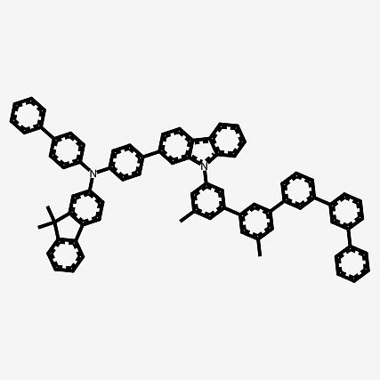 Cc1cc(-c2cccc(-c3cccc(-c4ccccc4)c3)c2)cc(-c2cc(C)cc(-n3c4ccccc4c4ccc(-c5ccc(N(c6ccc(-c7ccccc7)cc6)c6ccc7c(c6)C(C)(C)c6ccccc6-7)cc5)cc43)c2)c1